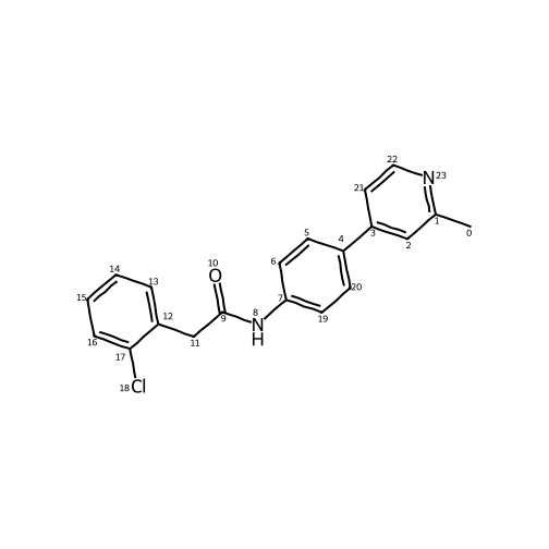 Cc1cc(-c2ccc(NC(=O)Cc3ccccc3Cl)cc2)ccn1